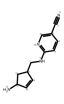 N#Cc1ccc(NCC2C=CC(N)C2)nc1